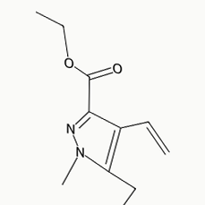 C=Cc1c(C(=O)OCC)nn(C)c1CC